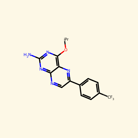 CC(C)Oc1nc(N)nc2ncc(-c3ccc(C(F)(F)F)cc3)nc12